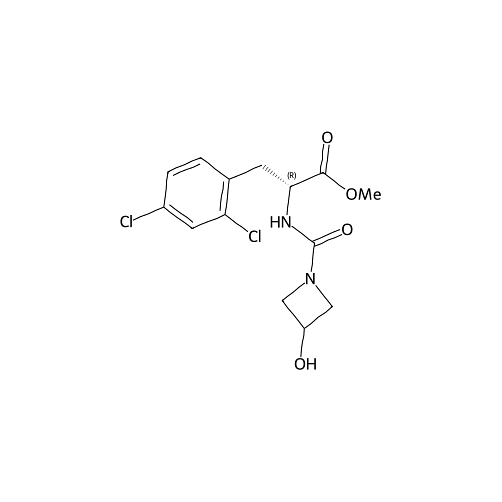 COC(=O)[C@@H](Cc1ccc(Cl)cc1Cl)NC(=O)N1CC(O)C1